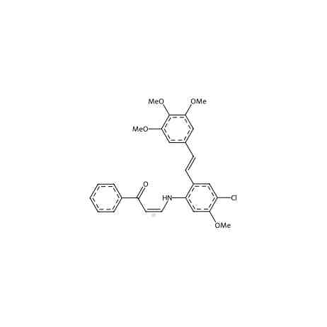 COc1cc(N/C=C\C(=O)c2ccccc2)c(C=Cc2cc(OC)c(OC)c(OC)c2)cc1Cl